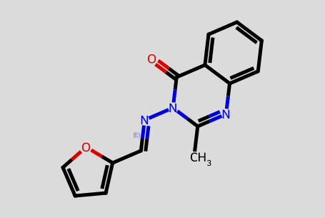 Cc1nc2ccccc2c(=O)n1/N=C/c1ccco1